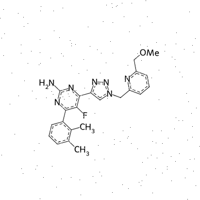 COCc1cccc(Cn2cc(-c3nc(N)nc(-c4cccc(C)c4C)c3F)nn2)n1